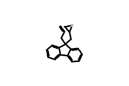 C=CCC1(CC2CO2)c2ccccc2-c2ccccc21